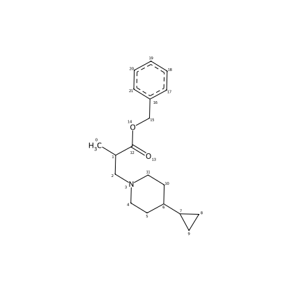 CC(CN1CCC(C2CC2)CC1)C(=O)OCc1ccccc1